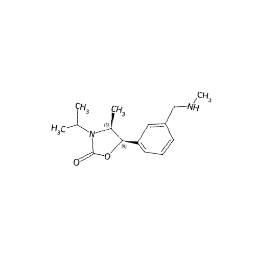 CNCc1cccc([C@H]2OC(=O)N(C(C)C)[C@H]2C)c1